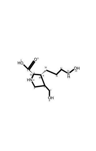 O=C(O)[C@H]1NCC(CO)[C@H]1CCCBO